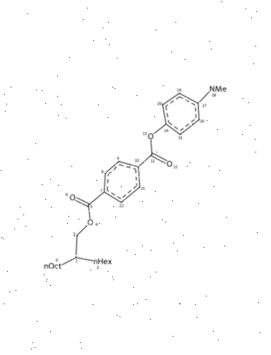 CCCCCCCCC(CCCCCC)COC(=O)c1ccc(C(=O)Oc2ccc(NC)cc2)cc1